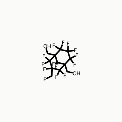 OCC12C(F)(F)C(F)(F)C(F)(F)C(CO)(C(F)(F)C(F)(CF)C1(F)F)C2(F)F